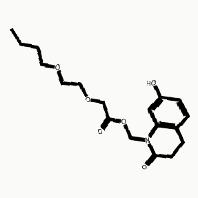 CCCCOCCOCC(=O)OCN1C(=O)CCc2ccc(O)cc21